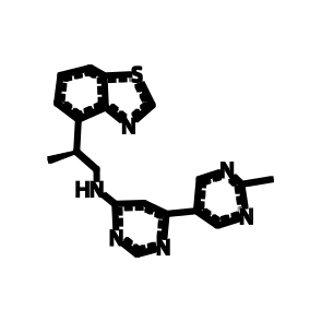 Cc1ncc(-c2cc(NC[C@@H](C)c3cccc4scnc34)ncn2)cn1